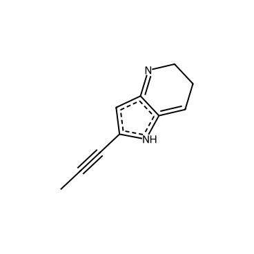 CC#Cc1cc2c([nH]1)=CCCN=2